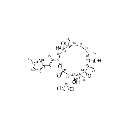 C/C(=C\c1csc(C)n1)[C@@H]1C[C@@H]2O[C@]2(C)CCC[C@H](C)[C@H](O)[C@@H](C)C(=O)C(C)(C)[C@@H](O)CC(=O)O1.ClCCl